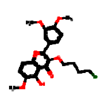 COc1ccc(-c2oc3ccc(OC)c(O)c3c(=O)c2OCCCCBr)cc1OC